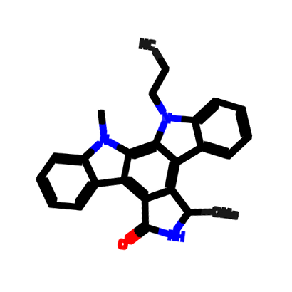 COC1NC(=O)c2c1c1c3ccccc3n(CCC#N)c1c1c2c2ccccc2n1C